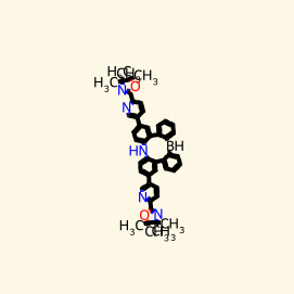 CC1(C)N=C(c2ccc(-c3ccc4c(c3)-c3ccccc3Bc3ccccc3-c3cc(-c5ccc(C6=NC(C)(C)C(C)(C)O6)nc5)ccc3N4)cn2)OC1(C)C